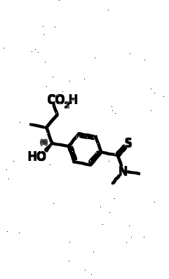 CC(CC(=O)O)[C@H](O)c1ccc(C(=S)N(C)C)cc1